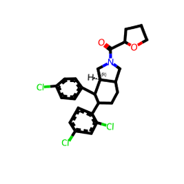 O=C(C1CCCO1)N1CC2CCC(c3ccc(Cl)cc3Cl)C(c3ccc(Cl)cc3)[C@H]2C1